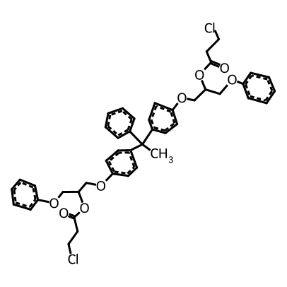 CC(c1ccccc1)(c1ccc(OCC(COc2ccccc2)OC(=O)CCCl)cc1)c1ccc(OCC(COc2ccccc2)OC(=O)CCCl)cc1